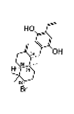 C=Cc1cc(O)c(C[C@H]2C(=C)CC[C@@H]3C(C)(C)[C@@H](Br)CC[C@@]32C)cc1O